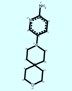 Nc1ccc(N2CCC3(CCOCC3)CC2)cn1